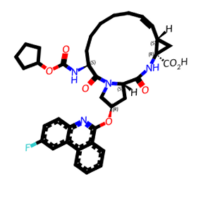 O=C(N[C@H]1CCCCCC=C[C@@H]2C[C@@]2(C(=O)O)NC(=O)[C@@H]2C[C@@H](Oc3nc4ccc(F)cc4c4ccccc34)CN2C1=O)OC1CCCC1